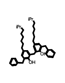 CC(C)CCCCCCc1cc(Cc2ccccc2)c(O)c(Cc2cc(CCCCCCC(C)C)cc(Cc3ccccc3)c2O)c1